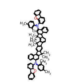 Cc1ccc(N(c2cc3c(c4ccccc24)-c2cc4c(cc2C3(C)C)-c2ccc3c(c2C4(C)C)C(C)(C)c2cc(N(c4ccc(C)cc4C)c4cccc5c4oc4ccccc45)c4ccccc4c2-3)c2cccc3c2oc2ccccc23)c(C)c1